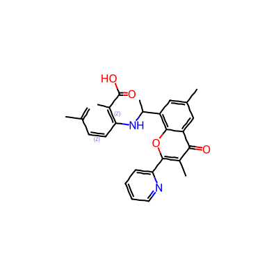 C=C(C)/C=C\C(NC(C)c1cc(C)cc2c(=O)c(C)c(-c3ccccn3)oc12)=C(/C)C(=O)O